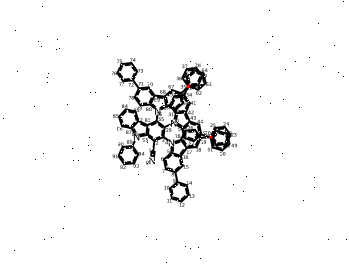 N#Cc1c(-n2c3ccc(-c4ccccc4)cc3c3cc(-c4ccccc4)ccc32)c(-n2c3ccc(-c4ccccc4)cc3c3cc(-c4ccccc4)ccc32)c(-n2c3ccc(-c4ccccc4)cc3c3cc(-c4ccccc4)ccc32)c2c3ccccc3n(-c3ccccc3)c12